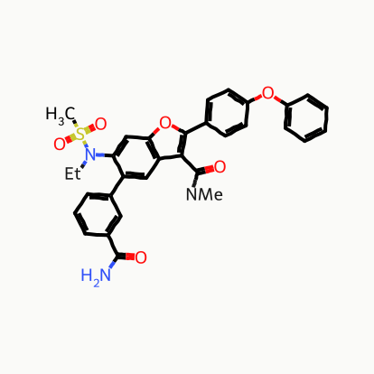 CCN(c1cc2oc(-c3ccc(Oc4ccccc4)cc3)c(C(=O)NC)c2cc1-c1cccc(C(N)=O)c1)S(C)(=O)=O